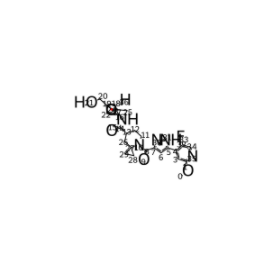 COc1cc(-c2cc(C(=O)N3CC[C@H](C(=O)NC45CC(CO)(C4)O[C@@H]5C)CC34CC4)n[nH]2)c(F)cn1